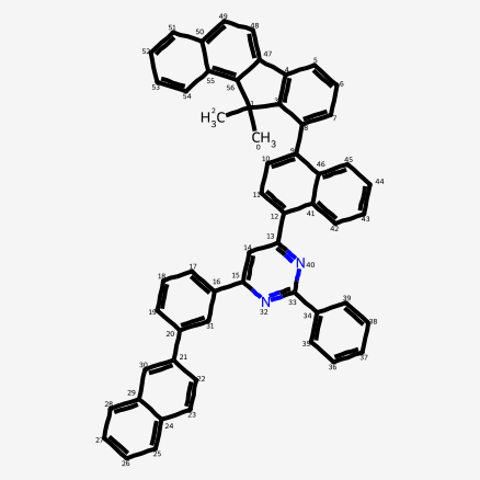 CC1(C)c2c(cccc2-c2ccc(-c3cc(-c4cccc(-c5ccc6ccccc6c5)c4)nc(-c4ccccc4)n3)c3ccccc23)-c2ccc3ccccc3c21